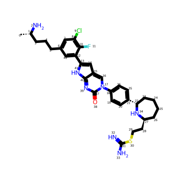 C[C@H](N)CCCc1cc(Cl)c(F)c(-c2cc3cn(-c4ccc([C@@H]5CCCC[C@@H](CCSC(=N)N)N5)cc4)c(=O)nc3[nH]2)c1